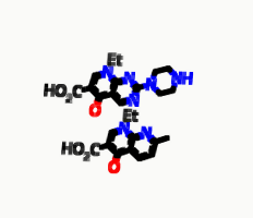 CCn1cc(C(=O)O)c(=O)c2ccc(C)nc21.CCn1cc(C(=O)O)c(=O)c2cnc(N3CCNCC3)nc21